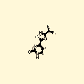 O=c1nc(-c2nnc(C(F)F)o2)cc[nH]1